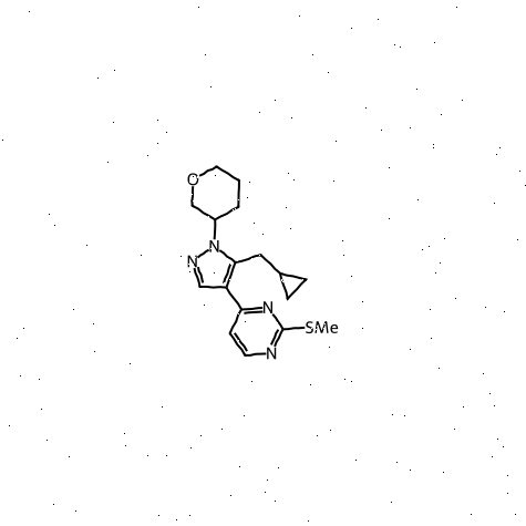 CSc1nccc(-c2cnn(C3CCCOC3)c2CC2CC2)n1